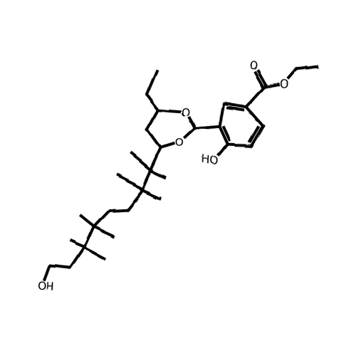 CCOC(=O)c1ccc(O)c(C2OC(CC)CC(C(C)(C)C(C)(C)CCC(C)(C)C(C)(C)CCO)O2)c1